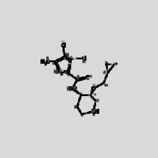 Cc1[nH]c(C(=O)N[C@@H]2CCNC[C@@H]2OCC2CC2)c(Cl)c1Cl